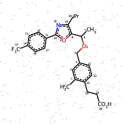 Cc1cc(COC(C)c2oc(-c3ccc(C(F)(F)F)cc3)nc2C(C)C)ccc1CCC(=O)O